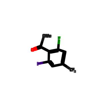 COC(=O)c1c(F)cc(C(F)(F)F)cc1I